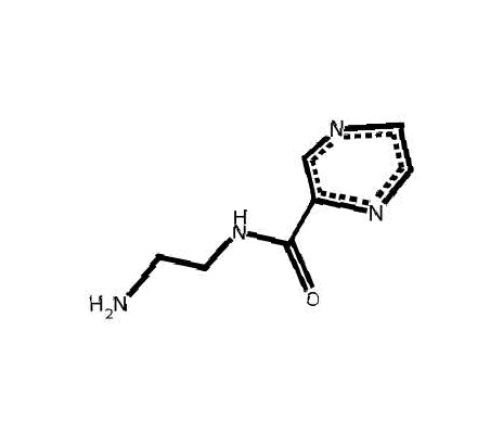 NCCNC(=O)c1cnccn1